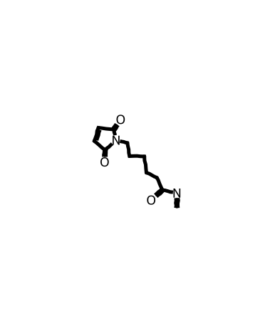 C=NC(=O)CCCCCN1C(=O)C=CC1=O